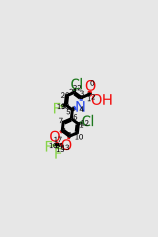 O=C(O)c1nc(-c2cc3c(cc2Cl)OC(F)(F)O3)c(F)cc1Cl